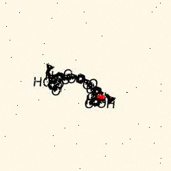 Cc1ccc(OC(=O)OCC2CCC(COC(=O)Oc3ccc4c5c3O[C@H]3C(=O)CC[C@@]6(O)C7N(CC8CC8)C47C[C@]536)CC2)c2c1[C@]13CCN(CC4CC4)C(C)[C@]1(O)CCC(=O)[C@@H]3O2